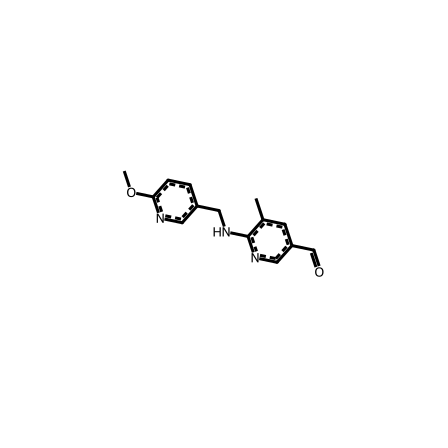 COc1ccc(CNc2ncc(C=O)cc2C)cn1